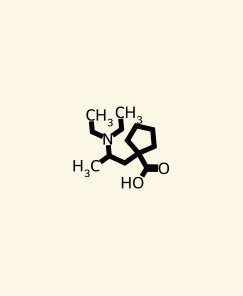 CCN(CC)C(C)CC1(C(=O)O)CCCC1